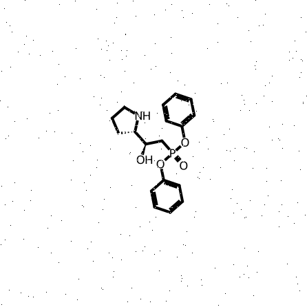 O=P(C[C@@H](O)[C@@H]1CCCN1)(Oc1ccccc1)Oc1ccccc1